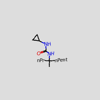 CCCCCC(C)(CCC)NC(=O)NC1CC1